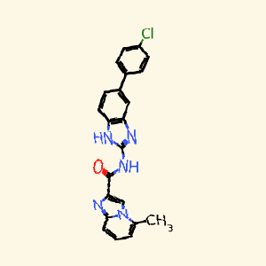 Cc1cccc2nc(C(=O)Nc3nc4cc(-c5ccc(Cl)cc5)ccc4[nH]3)cn12